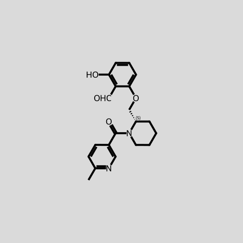 Cc1ccc(C(=O)N2CCCC[C@H]2COc2cccc(O)c2C=O)cn1